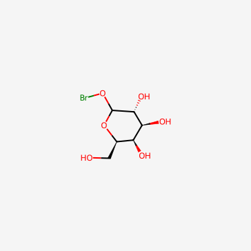 OC[C@H]1OC(OBr)[C@H](O)[C@@H](O)[C@H]1O